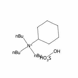 CCCC[N+](CCCC)(CCCC)C1CCCCC1.O=S(=O)(O)O